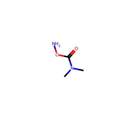 CN(C)C(=O)ON